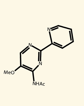 COc1cnc(-c2ccccn2)nc1NC(C)=O